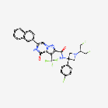 O=C(NC1(c2ccc(F)cc2)CN(C(CF)CF)C1)c1nn2cc(-c3ccc4ccccc4c3)[nH]c(=O)c2c1C(F)(F)F